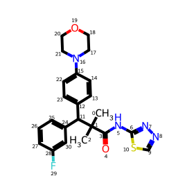 CC(C)(C(=O)Nc1nncs1)C(c1ccc(N2CCOCC2)cc1)c1cccc(F)c1